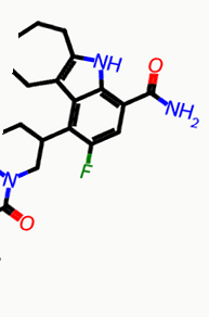 C=CC(=O)N1CCCC(c2c(F)cc(C(N)=O)c3[nH]c4c(c23)CCCCC4)C1